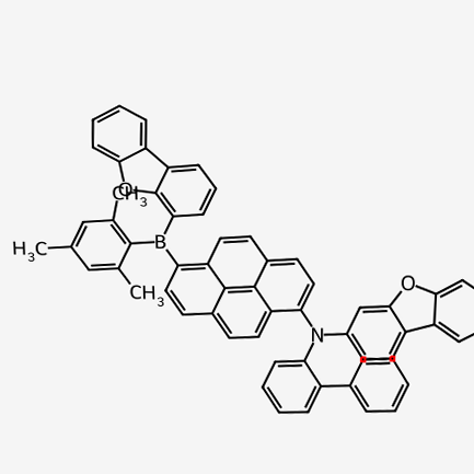 Cc1cc(C)c(B(c2ccc3ccc4c(N(c5ccc6c(c5)oc5ccccc56)c5ccccc5-c5ccccc5)ccc5ccc2c3c54)c2cccc3c2oc2ccccc23)c(C)c1